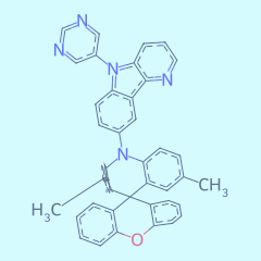 Cc1ccc2c(c1)C1(c3ccccc3Oc3ccccc31)c1cc(C)ccc1N2c1ccc2c(c1)c1ncccc1n2-c1cncnc1